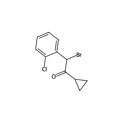 O=C(C1CC1)C(Br)c1ccccc1Cl